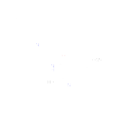 COc1ccc2c(c1)c(C(=O)NC1CCN(CCc3ccccc3)CC1)c(C)n2Cc1ccccc1